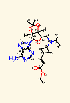 CCOC(=O)/C=C/C1CC(N(C[C@H]2O[C@@H](n3cnc4c(N)ncnc43)[C@@H]3OC(C)(C)O[C@@H]32)C(C)C)C1